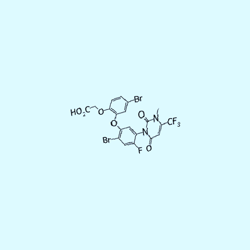 Cn1c(C(F)(F)F)cc(=O)n(-c2cc(Oc3cc(Br)ccc3OCC(=O)O)c(Br)cc2F)c1=O